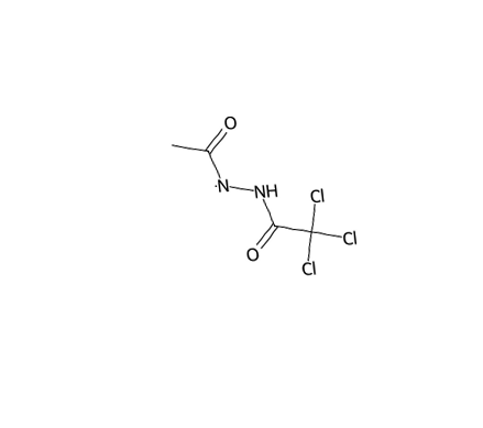 CC(=O)[N]NC(=O)C(Cl)(Cl)Cl